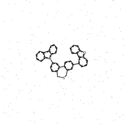 c1ccc2c(c1)oc1cccc(-c3ccc4c(c3)CSCc3ccc(-n5c6ccccc6c6ccccc65)cc3-4)c12